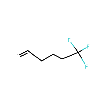 [CH]=CCCCC(F)(F)F